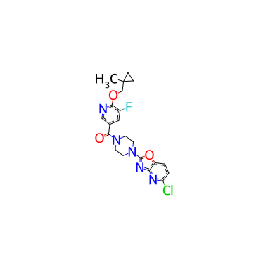 CC1(COc2ncc(C(=O)N3CCN(c4nc5nc(Cl)ccc5o4)CC3)cc2F)CC1